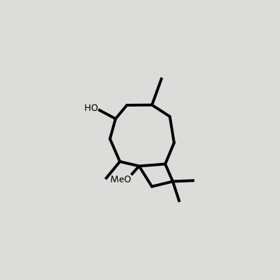 COC12CC(C)(C)C1CCC(C)CC(O)CC2C